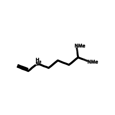 C=C[SiH2]CCCC(NC)NC